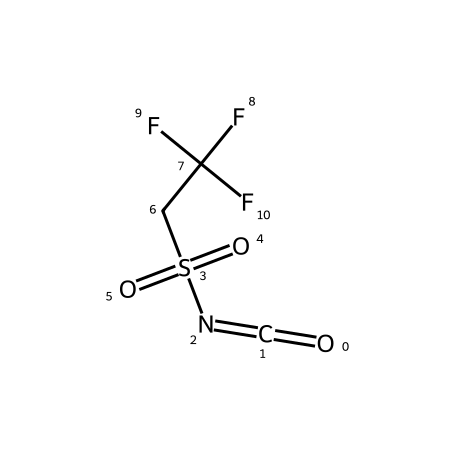 O=C=NS(=O)(=O)CC(F)(F)F